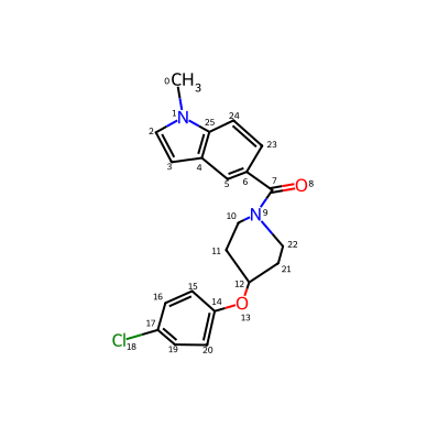 Cn1ccc2cc(C(=O)N3CCC(Oc4ccc(Cl)cc4)CC3)ccc21